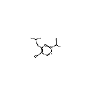 CC(C)Cc1cc(C(C)C)ncc1Cl